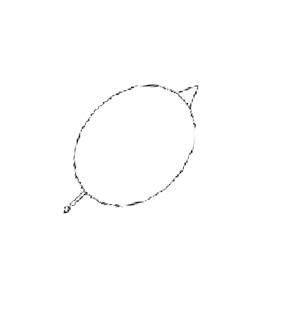 O=C1CCCCCCCC2CC2CCCCCCC1